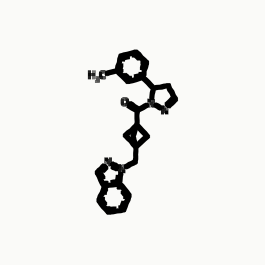 Cc1cccc(C2CC=NN2C(=O)C23CC(Cn4ncc5ccccc54)(C2)C3)c1